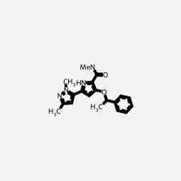 CNC(=O)c1[nH]c(-c2cc(C)nn2C)cc1OC(C)c1ccccc1